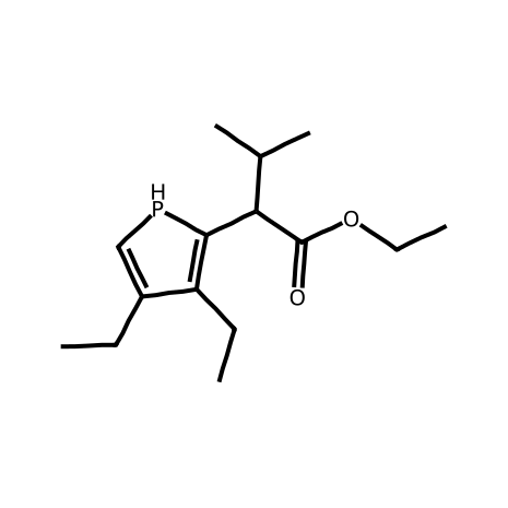 CCOC(=O)C(c1[pH]cc(CC)c1CC)C(C)C